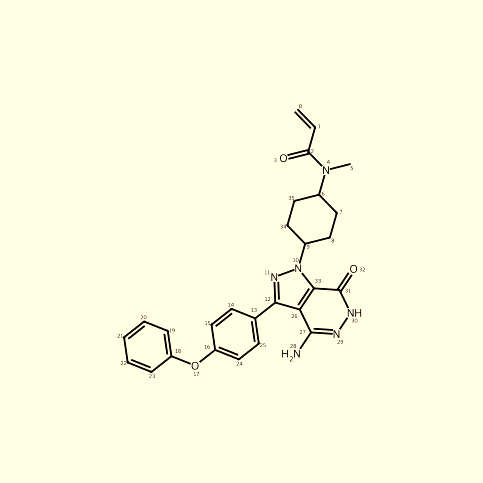 C=CC(=O)N(C)C1CCC(n2nc(-c3ccc(Oc4ccccc4)cc3)c3c(N)n[nH]c(=O)c32)CC1